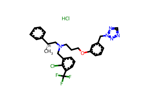 C[C@@H](CN(CCCOc1cccc(Cn2ncnn2)c1)Cc1cccc(C(F)(F)F)c1Cl)c1ccccc1.Cl